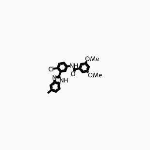 COc1cc(OC)cc(C(=O)Nc2ccc(Cl)c(-c3nc4cc(C)ccc4[nH]3)c2)c1